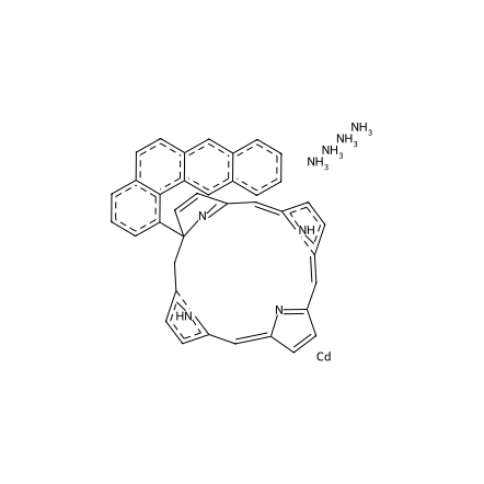 C1=CC2=NC1=Cc1ccc([nH]1)CC1(c3cccc4ccc5cc6ccccc6cc5c34)C=CC(=N1)C=c1ccc([nH]1)=C2.N.N.N.N.[Cd]